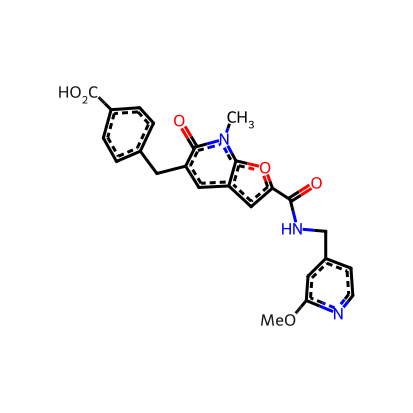 COc1cc(CNC(=O)c2cc3cc(Cc4ccc(C(=O)O)cc4)c(=O)n(C)c3o2)ccn1